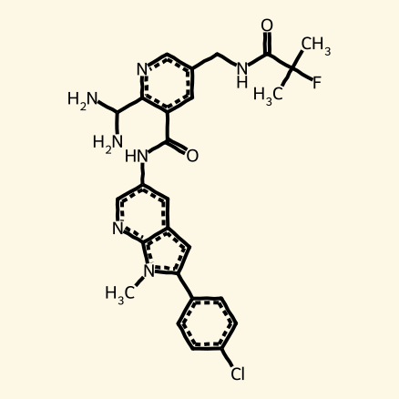 Cn1c(-c2ccc(Cl)cc2)cc2cc(NC(=O)c3cc(CNC(=O)C(C)(C)F)cnc3C(N)N)cnc21